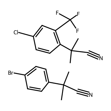 CC(C)(C#N)c1ccc(Br)cc1.CC(C)(C#N)c1ccc(Cl)cc1C(F)(F)F